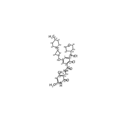 CCN(c1cc(OC2CC(N3CCC(C)CC3)C2)cc(C(=O)NCc2c(C)cc(C)[nH]c2=O)c1Cl)C1CCOCC1